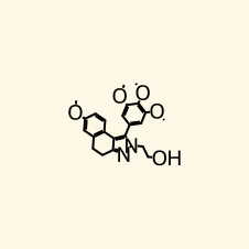 COc1ccc2c(c1)CCc1nn(CCO)c(-c3cc(OC)c(OC)c(OC)c3)c1-2